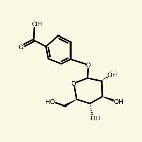 O=C(O)c1ccc(OC2O[C@H](CO)[C@@H](O)[C@H](O)[C@H]2O)cc1